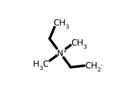 [CH2]C[N+](C)(C)CC